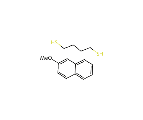 COc1ccc2ccccc2c1.SCCCCS